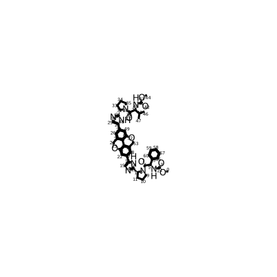 COC(=O)NC(C(=O)N1CCC[C@H]1c1ncc(-c2cc3c4c(c2)OCc2cc(-c5cnc([C@@H]6CCCN6C(=O)[C@@H](NC(=O)OC)C(C)C)[nH]5)cc(c2-4)OC3)[nH]1)c1ccccc1